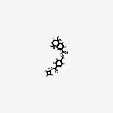 CC1(C)CCC(C)(C)c2cc(C(=O)OCc3ccc(C(=O)NC4CCC4)cc3)ccc21